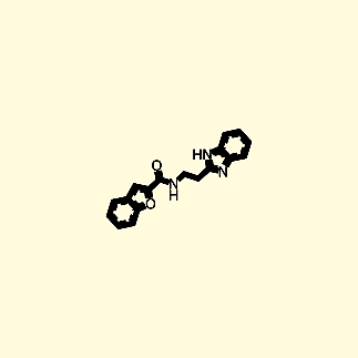 O=C(NCCc1nc2ccccc2[nH]1)c1cc2ccccc2o1